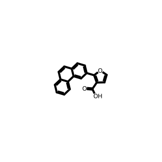 O=C(O)c1ccoc1-c1ccc2ccc3ccccc3c2c1